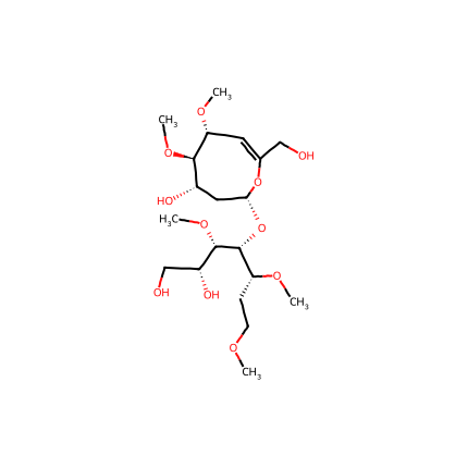 COCC[C@@H](OC)[C@@H](O[C@@H]1C[C@H](O)[C@@H](OC)[C@H](OC)C=C(CO)O1)[C@@H](OC)[C@H](O)CO